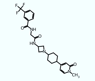 Cn1ccc(C2CCC(N3CC(NC(=O)CNC(=O)c4cccc(C(F)(F)F)c4)C3)CC2)cc1=O